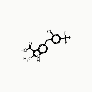 Cc1[nH]c2ccc(Cc3ccc(C(F)(F)F)cc3Cl)cc2c1C(=O)O